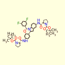 CC(C)(C)OC(=O)N1CCC[C@H]1C(=O)Nc1ccc2c(c1)OC(c1cc(F)cc(F)c1)n1c-2cc2cc(NC(=O)[C@@H]3CCCN3C(=O)OC(C)(C)C)ccc21